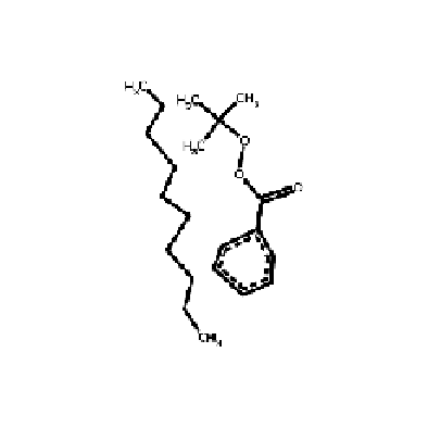 CC(C)(C)OOC(=O)c1ccccc1.CCCCCCCCCC